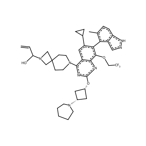 C=CC(O)N1CC2(CCN(c3nc(O[C@H]4C[C@@H](N5CCCCC5)C4)nc4c(OCC(F)(F)F)c(-c5c(C)ccc6[nH]ncc56)c(C5CC5)cc34)CC2)C1